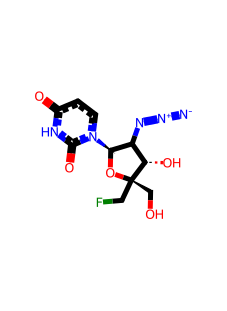 [N-]=[N+]=NC1[C@H](n2ccc(=O)[nH]c2=O)O[C@@](CO)(CF)[C@H]1O